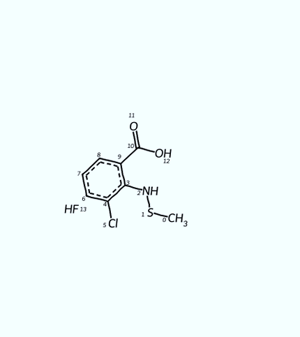 CSNc1c(Cl)cccc1C(=O)O.F